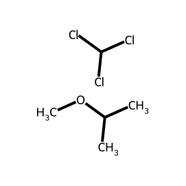 COC(C)C.ClC(Cl)Cl